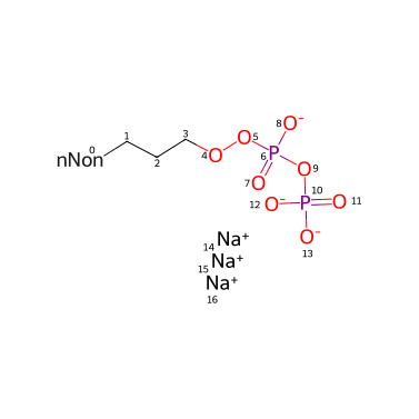 CCCCCCCCCCCCOOP(=O)([O-])OP(=O)([O-])[O-].[Na+].[Na+].[Na+]